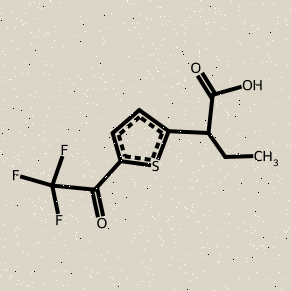 CCC(C(=O)O)c1ccc(C(=O)C(F)(F)F)s1